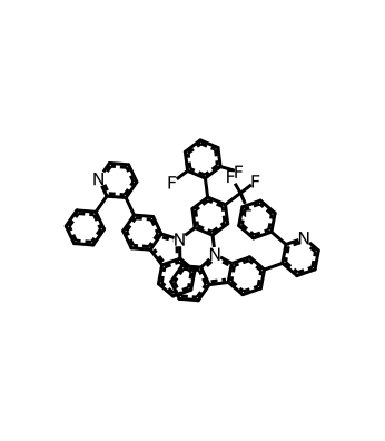 Fc1cccc(F)c1-c1cc(-n2c3ccccc3c3ccc(-c4cccnc4-c4ccccc4)cc32)c(-n2c3ccccc3c3ccc(-c4cccnc4-c4ccccc4)cc32)cc1C(F)(F)F